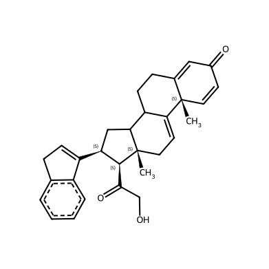 C[C@]12C=CC(=O)C=C1CCC1C2=CC[C@@]2(C)C1C[C@H](C1=CCc3ccccc31)[C@@H]2C(=O)CO